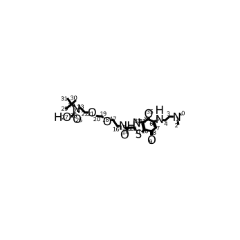 CN(C)CCNC1=CC(=O)c2sc(C(=O)NCCOCCOCCN(C(=O)O)C(C)(C)C)nc2C1=O